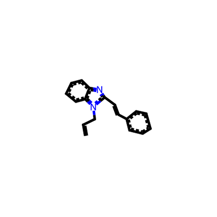 C=CCn1c(/C=C/c2ccccc2)nc2ccccc21